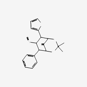 CC1(C)OC2C(=O)C(O1)C(c1ccco1)C(N=O)C2c1ccccc1